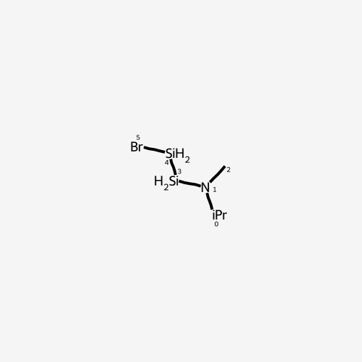 CC(C)N(C)[SiH2][SiH2]Br